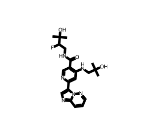 CC(C)(O)CNc1cc(-c2cnc3cccnn23)ncc1C(=O)NCC(F)C(C)(C)O